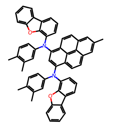 Cc1cc2ccc3c(N(c4ccc(C)c(C)c4)c4cccc5c4oc4ccccc45)cc(N(c4ccc(C)c(C)c4)c4cccc5c4oc4ccccc45)c4ccc(c1)c2c34